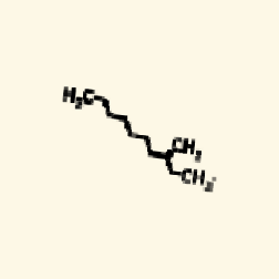 [CH2]CC(=C)CCCCCCC